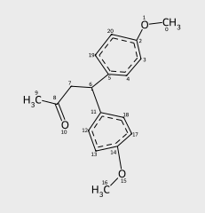 COc1ccc([C](CC(C)=O)c2ccc(OC)cc2)cc1